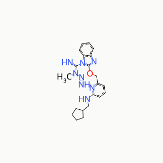 CN(N=N)C(=N)n1c(OCc2cccc(NCC3CCCC3)n2)nc2ccccc21